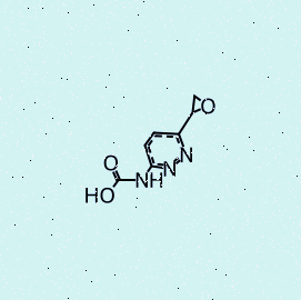 O=C(O)Nc1ccc(C2CO2)nn1